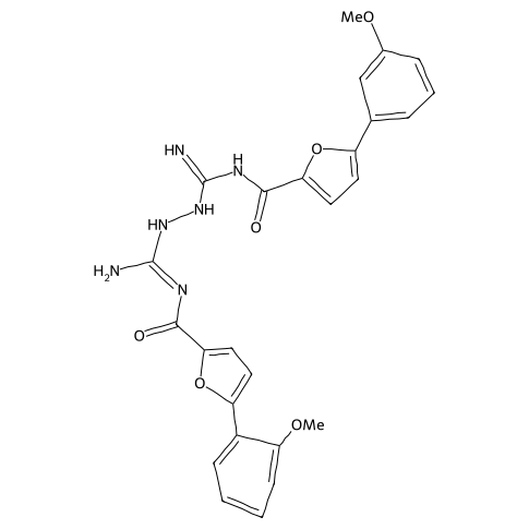 COc1cccc(-c2ccc(C(=O)NC(=N)NNC(N)=NC(=O)c3ccc(-c4ccccc4OC)o3)o2)c1